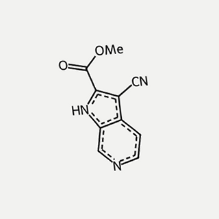 COC(=O)c1[nH]c2cnccc2c1C#N